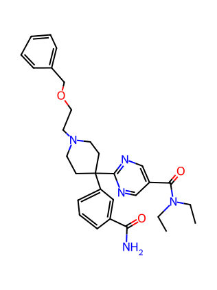 CCN(CC)C(=O)c1cnc(C2(c3cccc(C(N)=O)c3)CCN(CCOCc3ccccc3)CC2)nc1